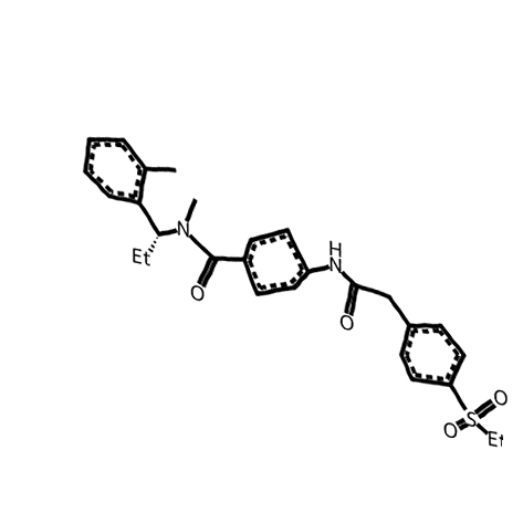 CC[C@H](c1ccccc1C)N(C)C(=O)c1ccc(NC(=O)Cc2ccc(S(=O)(=O)CC)cc2)cc1